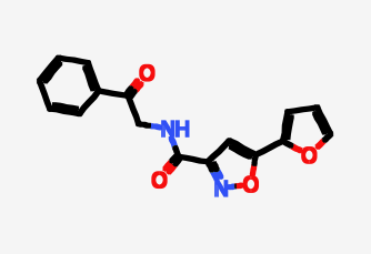 O=C(CNC(=O)c1cc(-c2ccco2)on1)c1ccccc1